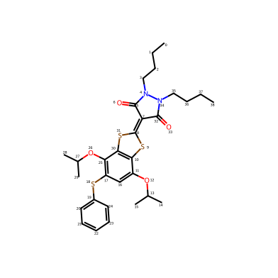 CCCCN1C(=O)C(=C2Sc3c(OC(C)C)cc(Sc4ccccc4)c(OC(C)C)c3S2)C(=O)N1CCCC